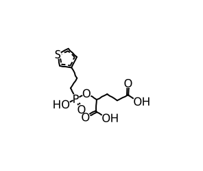 O=C(O)CCC(OP(=O)(O)CCc1ccsc1)C(=O)O